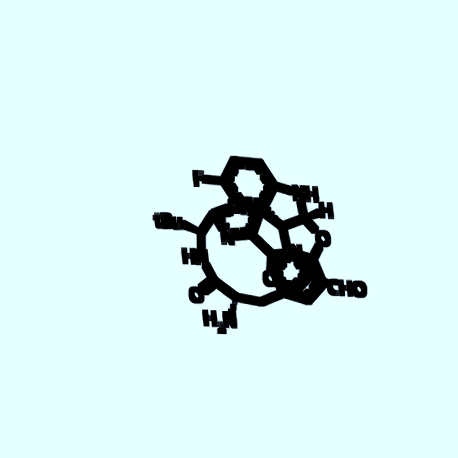 CC(C)(C)[C@@H]1NC(=O)[C@@H](N)Cc2ccc3c(c2)[C@@]2(c4cc(F)ccc4N[C@@H]2O3)c2oc1nc2-c1nc(C=O)co1